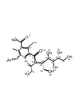 CNC(=O)c1c(I)c(NC(C)=O)c(I)c(C(=O)N(C(=O)CN)[C@@H](CO)[C@@H](O)[C@H](O)[C@H](O)CO)c1I